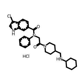 Cl.O=C(CN(C(=O)c1ccc2c(Cl)c[nH]c2c1)c1ccccc1)N1CCC(CNC2CCCCC2)CC1